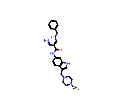 CN1CCN(Cc2c[nH]c3cc(NC(=O)/C(C=N)=C/NCc4ccccc4)ccc23)CC1